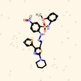 COc1ccccc1NS(=O)(=O)c1cc([N+](=O)[O-])ccc1NN=Cc1sc(N2CCCCC2)nc1-c1cccs1